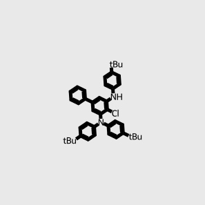 CC(C)(C)c1ccc(Nc2cc(-c3ccccc3)cc(N(c3ccc(C(C)(C)C)cc3)c3ccc(C(C)(C)C)cc3)c2Cl)cc1